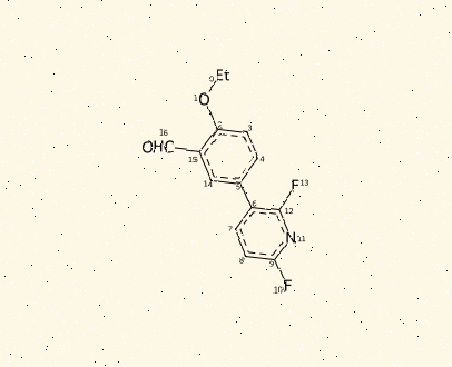 CCOc1ccc(-c2ccc(F)nc2F)cc1C=O